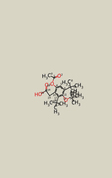 CC(=O)Oc1cc(C(C)(C)C)c(O[Si](C)(C)C)c(C(C)(C)C)c1CC(=O)O